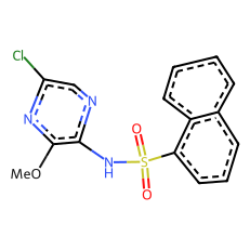 COc1nc(Cl)cnc1NS(=O)(=O)c1cccc2ccccc12